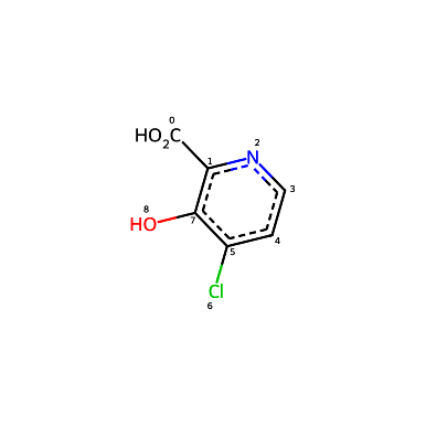 O=C(O)c1nccc(Cl)c1O